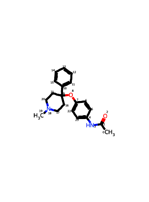 CC(=O)Nc1ccc(OC2(c3ccccc3)CCN(C)CC2)cc1